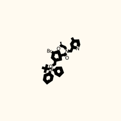 Cc1ccnc(CN2C[C@H](C)Oc3c(Br)cc(CO[Si](c4ccccc4)(c4ccccc4)C(C)(C)C)cc3C2=O)c1